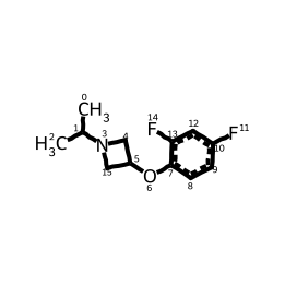 CC(C)N1CC(Oc2ccc(F)cc2F)C1